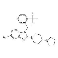 CC(=O)c1ccc2c(c1)nc(N1CCC(N3CCCC3)CC1)n2Cc1ccccc1C(C)(F)F